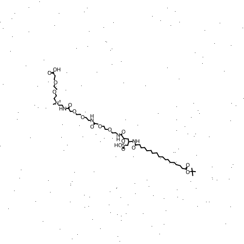 CC(C)(C)OC(=O)CCCCCCCCCCCCCCCCC(=O)NC(CCC(=O)NCCOCCOCC(=O)NCCOCCOCC(=O)NCC[N+](C)(C)CCOCCOCCC(=O)O)CS(=O)(=O)O